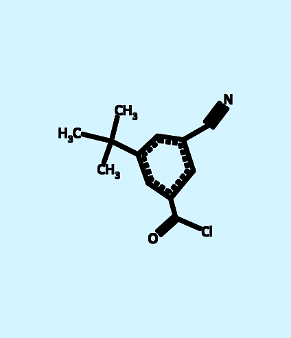 CC(C)(C)c1cc(C#N)cc(C(=O)Cl)c1